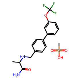 CC(NCc1ccc(-c2cccc(OC(F)(F)F)c2)cc1)C(N)=O.CS(=O)(=O)O